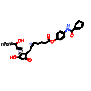 CCCCCC(O)/C=C/[C@H]1C(O)CC(=O)C1C/C=C\CCCC(=O)Oc1ccc(NC(=O)c2ccccc2)cc1